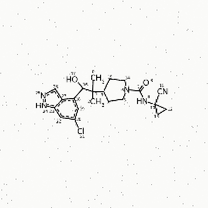 CC(C)(C1CCN(C(=O)NC2(C#N)CC2)CC1)C(O)c1cc(Cl)cc2[nH]ncc12